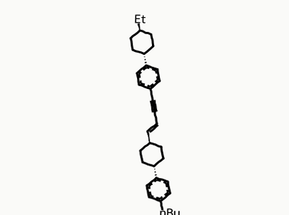 CCCCc1ccc([C@H]2CC[C@H](C=CC#Cc3ccc([C@H]4CC[C@H](CC)CC4)cc3)CC2)cc1